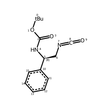 CC(C)(C)OC(=O)N[C@@H](CN=C=O)c1ccccc1